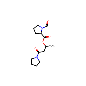 CC(CC(=O)N1CCCC1)OC(=O)C1CCCN1C=O